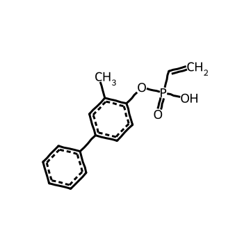 C=CP(=O)(O)Oc1ccc(-c2ccccc2)cc1C